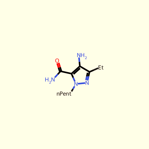 CCCCCn1nc(CC)c(N)c1C(N)=O